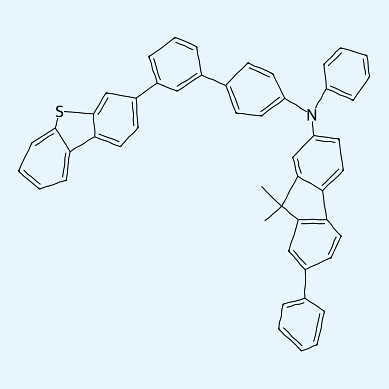 CC1(C)c2cc(-c3ccccc3)ccc2-c2ccc(N(c3ccccc3)c3ccc(-c4cccc(-c5ccc6c(c5)sc5ccccc56)c4)cc3)cc21